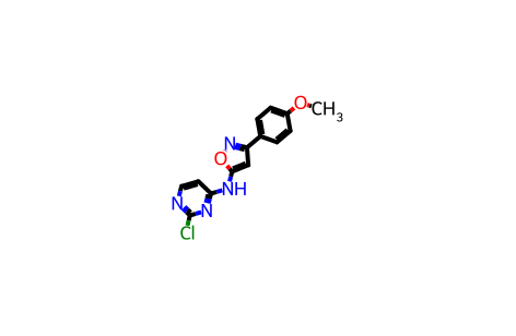 COc1ccc(-c2cc(Nc3ccnc(Cl)n3)on2)cc1